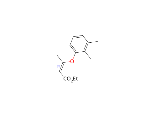 CCOC(=O)/C=C(/C)Oc1cccc(C)c1C